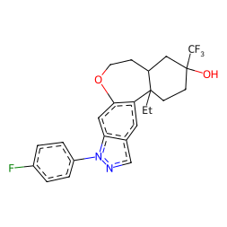 CCC12CCC(O)(C(F)(F)F)CC1CCOc1cc3c(cnn3-c3ccc(F)cc3)cc12